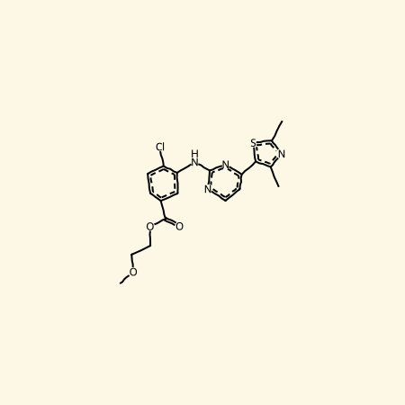 COCCOC(=O)c1ccc(Cl)c(Nc2nccc(-c3sc(C)nc3C)n2)c1